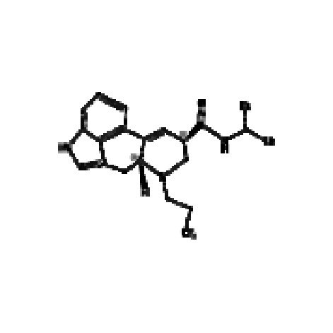 CCC(CC)NC(=O)[C@@H]1C=C2c3cccc4[nH]cc(c34)C[C@H]2N(CCC(F)(F)F)C1